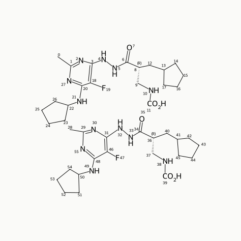 Cc1nc(NNC(=O)[C@@H](CNC(=O)O)CC2CCCC2)c(F)c(NC2CCCC2)n1.Cc1nc(NNC(=O)[C@@H](CNC(=O)O)CC2CCCC2)c(F)c(NC2CCCC2)n1